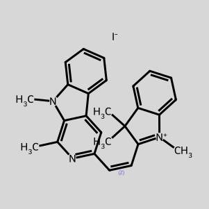 Cc1nc(/C=C\C2=[N+](C)c3ccccc3C2(C)C)cc2c3ccccc3n(C)c12.[I-]